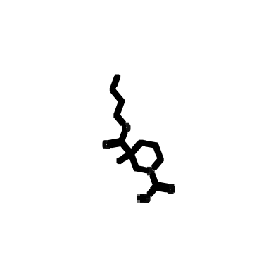 CCCCOC(=O)C1(C)CCCN(C(=O)O)C1